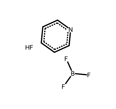 F.FB(F)F.c1ccncc1